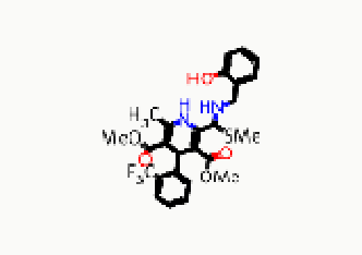 COC(=O)C1=C(C)NC(C(NCc2ccccc2O)SC)=C(C(=O)OC)C1c1ccccc1C(F)(F)F